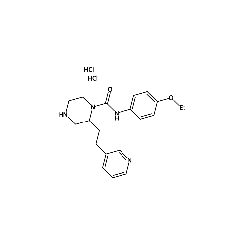 CCOc1ccc(NC(=O)N2CCNCC2CCc2cccnc2)cc1.Cl.Cl